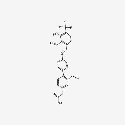 CCc1cc(CC(=O)O)ccc1-c1ccc(OCc2ccc(C(F)(F)F)c(O)c2C=O)cc1